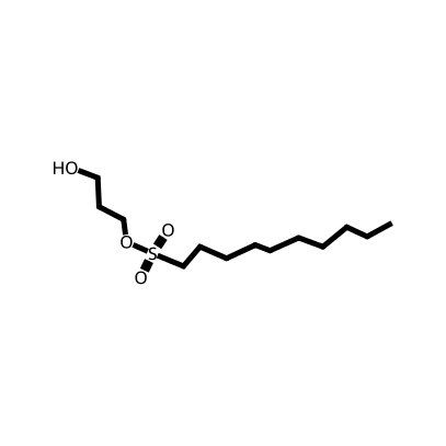 CCCCCCCCCCS(=O)(=O)OCCCO